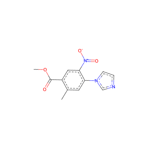 COC(=O)c1cc([N+](=O)[O-])c(-n2ccnc2)cc1C